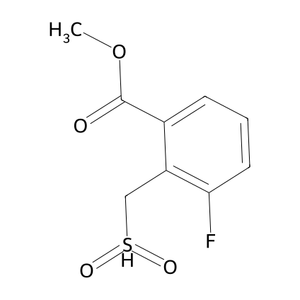 COC(=O)c1cccc(F)c1C[SH](=O)=O